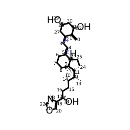 C=C1/C(=C\C=C2/CCC[C@]3(C)[C@@H]([C@H](C)CCC[C@@H](O)c4cocn4)CC[C@@H]23)C[C@@H](O)C[C@@H]1O